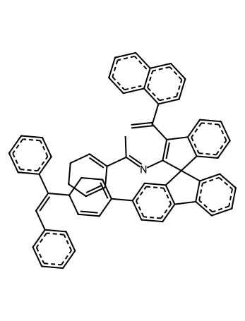 C=C(C1=C(/N=C(\C)C2=CCCC=C2)C2(c3ccccc31)c1ccccc1-c1ccc(C3=CCC(/C(=C\c4ccccc4)c4ccccc4)C=C3)cc12)c1cccc2ccccc12